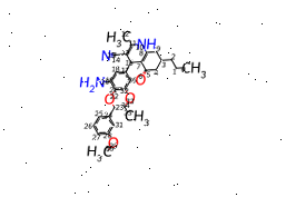 CCCC1CC(=O)C2=C(C1)NC(C)=C(C#N)C2c1cc(N)c(OCc2cccc(OC)c2)c(OCC)c1